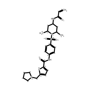 C=CC(=O)NC1CC(C)N(S(=O)(=O)c2ccc(NC(=O)c3ccc(CN4CCCC4)o3)cc2)C(C)C1